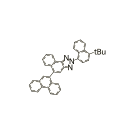 CC(C)(C)c1ccc(-n2nc3cc(-c4cc5ccccc5c5ccccc45)c4ccccc4c3n2)c2ccccc12